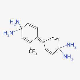 NC1(N)C=CC(=C2C=CC(N)(N)C=C2C(F)(F)F)C=C1